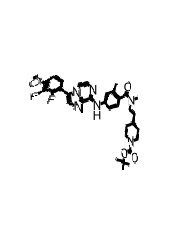 COc1ccc(-c2cnc3c(Nc4ccc(C(=O)N(C)CCC5CCN(C(=O)OC(C)(C)C)CC5)c(C)c4)nccn23)c(F)c1F